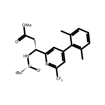 COC(=O)C[C@@H](N[S@+]([O-])C(C)(C)C)c1cc(-c2c(C)cccc2C)cc(C(F)(F)F)n1